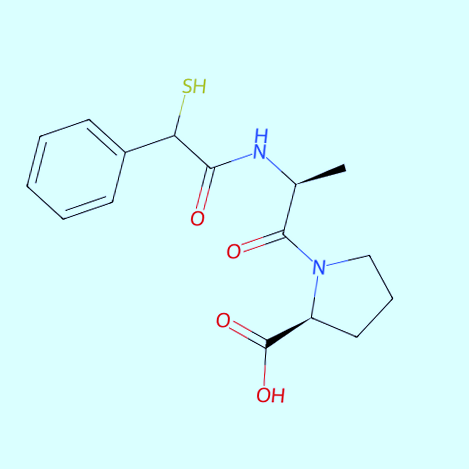 C[C@H](NC(=O)C(S)c1ccccc1)C(=O)N1CCC[C@H]1C(=O)O